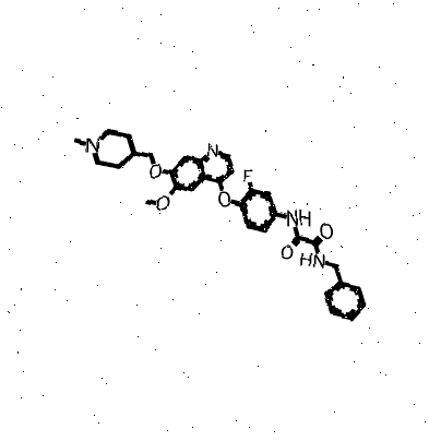 COc1cc2c(Oc3ccc(NC(=O)C(=O)NCc4ccccc4)cc3F)ccnc2cc1OCC1CCN(C)CC1